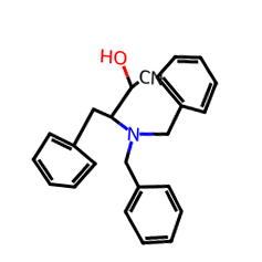 N#CC(O)C(Cc1ccccc1)N(Cc1ccccc1)Cc1ccccc1